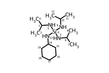 CC(C)N[Si](NC(C)C)(NC(C)C)NC1CCCCC1